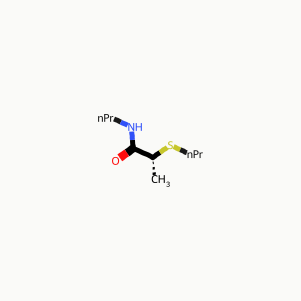 CCCNC(=O)[C@@H](C)SCCC